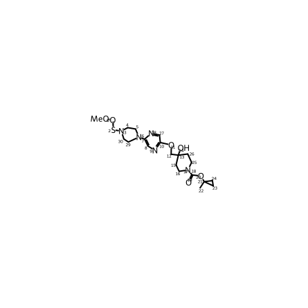 COOSN1CCN(c2cnc(OCC3(O)CCN(C(=O)OC4(C)CC4)CC3)cn2)CC1